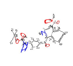 COC(=O)c1cnc(C(=O)c2ccc(NC(=O)OC(C)(C)C)cc2)c2ccccc12